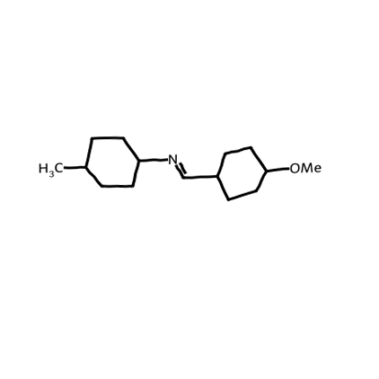 COC1CCC(C=NC2CCC(C)CC2)CC1